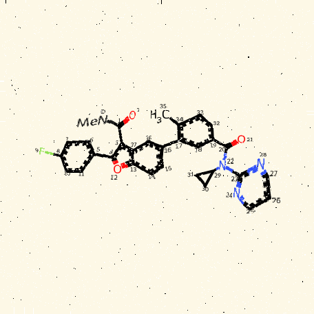 CNC(=O)c1c(-c2ccc(F)cc2)oc2ccc(-c3cc(C(=O)N(c4ncccn4)C4CC4)ccc3C)cc12